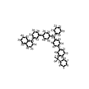 CC1(C)c2ccccc2-c2ccc(-c3ccc(N(c4ccccc4)c4ccc(-c5cccc(-c6cccc7ccccc67)c5)cc4)cc3)cc21